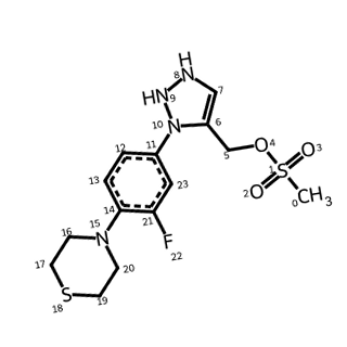 CS(=O)(=O)OCC1=CNNN1c1ccc(N2CCSCC2)c(F)c1